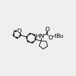 CC(C)(C)OC(=O)NC1(c2ccc(-c3ccco3)cc2)CCCC1